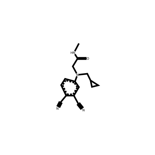 CNC(=O)CN(CC1CC1)c1ccc(C#N)c(C#N)c1